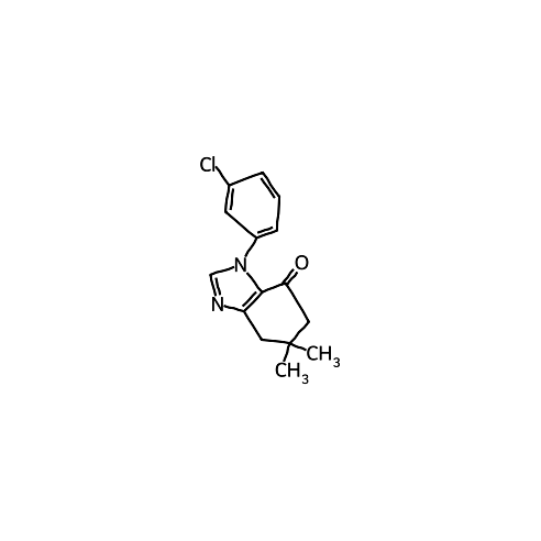 CC1(C)CC(=O)c2c(ncn2-c2cccc(Cl)c2)C1